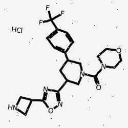 Cl.O=C(N1CCOCC1)N1CC(c2ccc(C(F)(F)F)cc2)CC(c2noc(C3CNC3)n2)C1